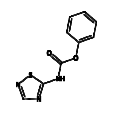 O=C(Nc1ncns1)Oc1ccccc1